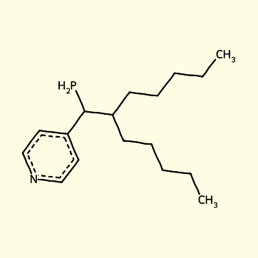 CCCCCC(CCCCC)C(P)c1ccncc1